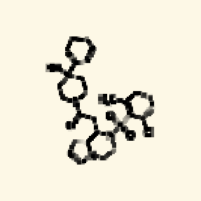 Cc1cccc(Cl)c1S(=O)(=O)N1CCn2cccc2C1CC(=O)N1CCC(O)(c2ccccc2)CC1